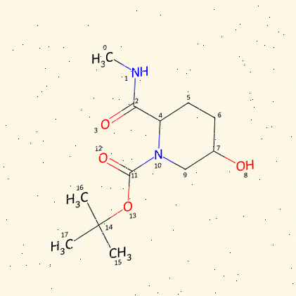 CNC(=O)C1CCC(O)CN1C(=O)OC(C)(C)C